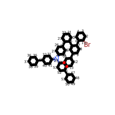 Brc1ccccc1-c1ccc(-c2ccccc2)cc1-c1ccccc1-c1ccc(N(c2ccc(-c3ccccc3)cc2)c2ccc(-c3ccccc3)cc2)cc1